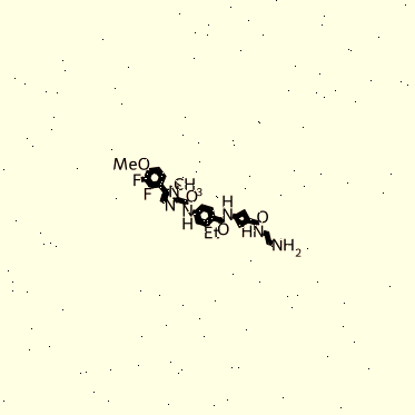 CCc1cc(NC(=O)c2ncc(-c3ccc(OC)c(F)c3F)n2C)ccc1C(=O)NC1CC(C(=O)NCCN)C1